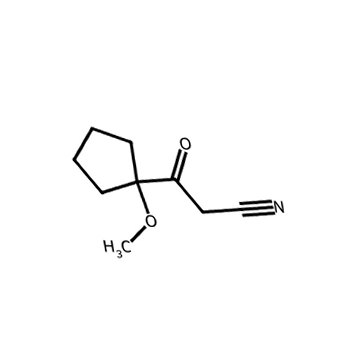 COC1(C(=O)CC#N)CCCC1